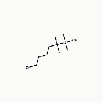 CC(C)(CCCCCl)[Si](C)(C)O